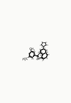 Cc1cc(C)cc(C2=Nc3cccc4cc(C5CCCC5)cc2c34)c1